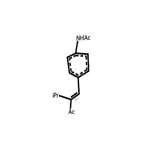 CC(=O)Nc1ccc(/C=C(/C(C)=O)C(C)C)cc1